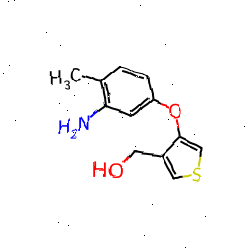 Cc1ccc(Oc2cscc2CO)cc1N